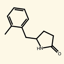 Cc1ccccc1CC1CCC(=O)N1